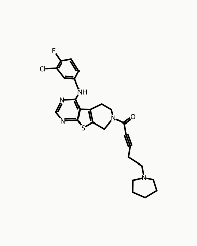 O=C(C#CCCN1CCCCC1)N1CCc2c(sc3ncnc(Nc4ccc(F)c(Cl)c4)c23)C1